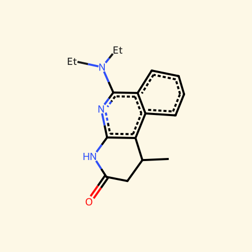 CCN(CC)c1nc2c(c3ccccc13)C(C)CC(=O)N2